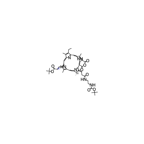 CCC1=C(C)c2cc3[nH]c(cc4nc(c5c6[nH]c(cc1n2)c(C)c6C(=O)OC5=O)[C@@H](CCC(=O)NCCNC(=O)OC(C)(C)C)[C@@H]4C)c(C)c3/C=C/C(=O)OC(C)(C)C